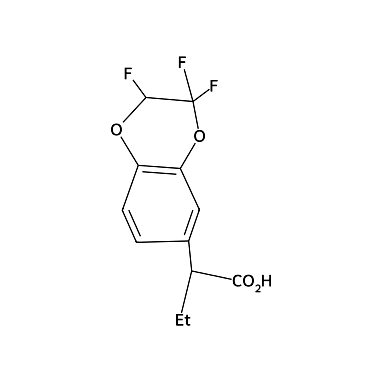 CCC(C(=O)O)c1ccc2c(c1)OC(F)(F)C(F)O2